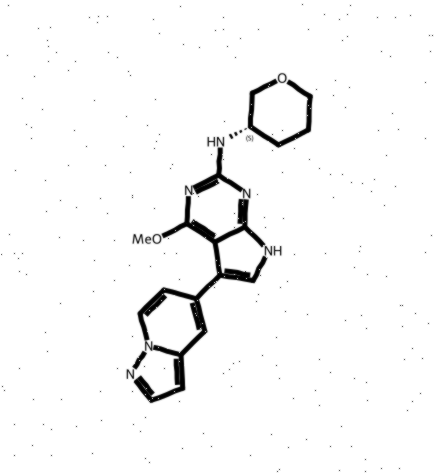 COc1nc(N[C@H]2CCCOC2)nc2[nH]cc(-c3ccn4nccc4c3)c12